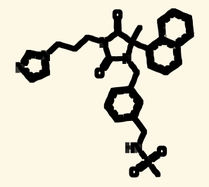 CC1(c2cccc3ccccc23)C(=O)N(CCCn2ccnc2)C(=O)N1Cc1cccc(CNS(C)(=O)=O)c1